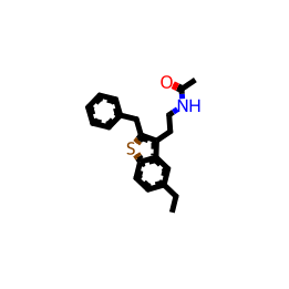 CCc1ccc2sc(Cc3ccccc3)c(CCNC(C)=O)c2c1